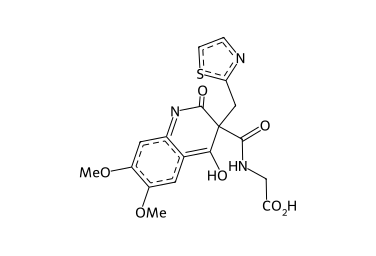 COc1cc2c(cc1OC)=C(O)C(Cc1nccs1)(C(=O)NCC(=O)O)C(=O)N=2